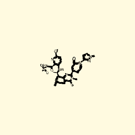 Cc1cc([C@@H](C)Nc2ccc(Cl)nc2C(=O)NS(C)(=O)=O)c2nc(-c3ccn(-c4ccn(C)n4)c(=O)c3)n(C)c(=O)c2c1